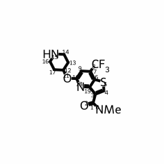 CNC(=O)c1csc2c(C(F)(F)F)cc(OC3CCNCC3)nc12